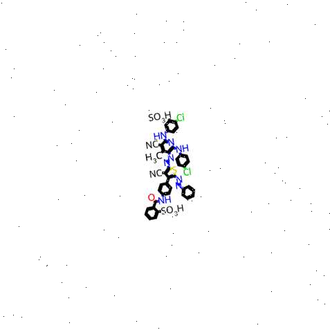 Cc1c(C#N)c(Nc2ccc(Cl)c(S(=O)(=O)O)c2)nc(Nc2ccc(Cl)cc2)c1N=Nc1sc(N=Nc2ccccc2)c(-c2ccc(NC(=O)c3ccccc3S(=O)(=O)O)cc2)c1C#N